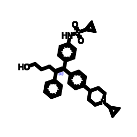 O=S(=O)(Nc1ccc(/C(=C(\CCCO)c2ccccc2)c2ccc(C3CCN(C4CC4)CC3)cc2)cc1)C1CC1